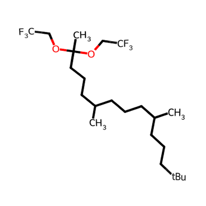 CC(CCCC(C)CCCC(C)(OCC(F)(F)F)OCC(F)(F)F)CCCC(C)(C)C